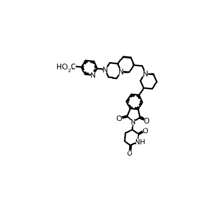 O=C1CCC(N2C(=O)c3ccc(C4CCCN(CC5CCC6CN(c7ccc(C(=O)O)cn7)CCN6C5)C4)cc3C2=O)C(=O)N1